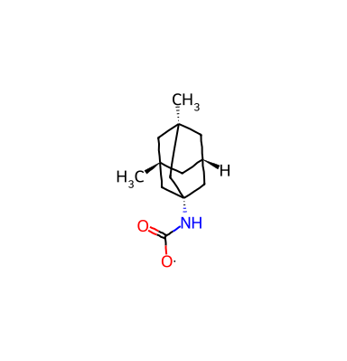 C[C@]12C[C@@H]3C[C@](C)(C1)C[C@@](NC([O])=O)(C3)C2